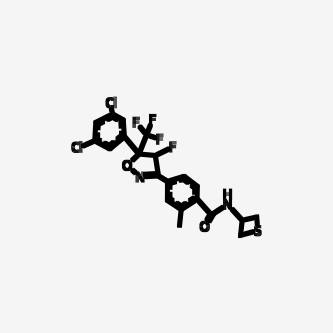 Cc1cc(C2=NOC(c3cc(Cl)cc(Cl)c3)(C(F)(F)F)C2F)ccc1C(=O)NC1CSC1